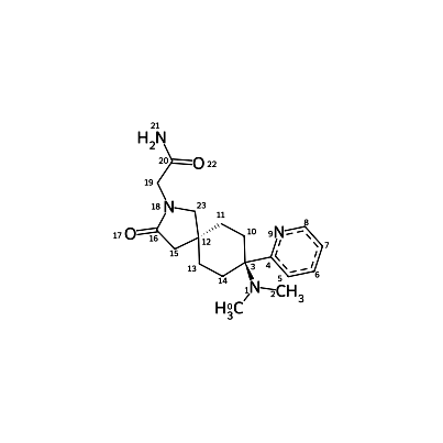 CN(C)[C@]1(c2ccccn2)CC[C@]2(CC1)CC(=O)N(CC(N)=O)C2